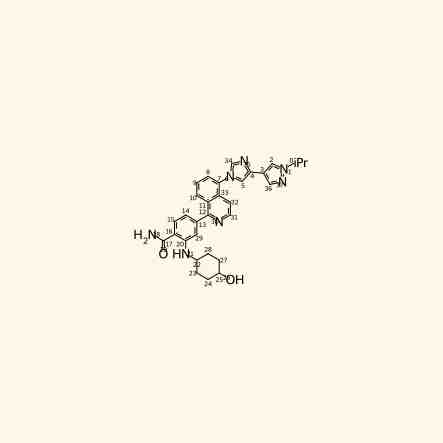 CC(C)n1cc(-c2cn(-c3cccc4c(-c5ccc(C(N)=O)c(NC6CCC(O)CC6)c5)nccc34)cn2)cn1